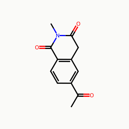 CC(=O)c1ccc2c(c1)CC(=O)N(C)C2=O